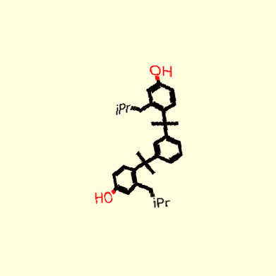 CC(C)Cc1cc(O)ccc1C(C)(C)c1cccc(C(C)(C)c2ccc(O)cc2CC(C)C)c1